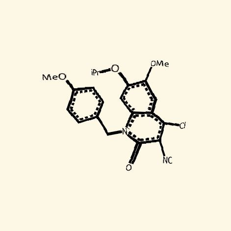 [C-]#[N+]c1c(Cl)c2cc(OC)c(OC(C)C)cc2n(Cc2ccc(OC)cc2)c1=O